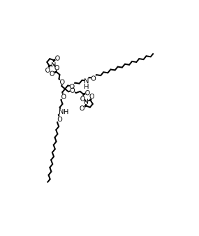 CCCCCCCCCCCCCCCCCOCNCCCOCC(COCCCNCOCCCCCCCCCCCCCCCCC)(COCCC(=O)ON1C(=O)CCC1=O)COCCC(=O)ON1C(=O)CCC1=O